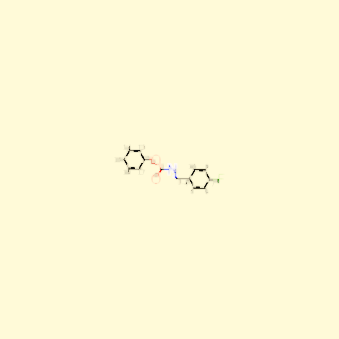 O=C(N=Cc1ccc(F)cc1)Oc1ccccc1